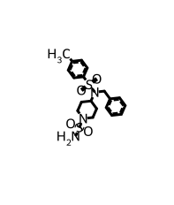 Cc1ccc(S(=O)(=O)N(Cc2ccccc2)C2CCN(S(N)(=O)=O)CC2)cc1